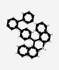 c1ccc(-c2ccccc2-c2ccc(C3c4c(ccc5ccccc45)Sc4ccc5ccccc5c43)cc2)cc1